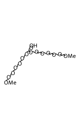 COCCOCCOCCOCCOCCOCCOCC(COO)OCCOCCOCCOCCOCCOCCOC